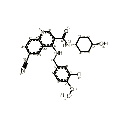 COc1ccc(CNc2c(C(=O)N[C@H]3CC[C@H](O)CC3)cnc3ccc(C#N)cc23)cc1Cl